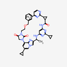 Cc1ccnc(C2CC2C(=O)Nc2cc(NC(C)c3cn4cc(C5CC5)cc(N5CC(=O)N(CCOCc6ccccc6)C5=O)c4n3)nc(C3CC3)n2)n1